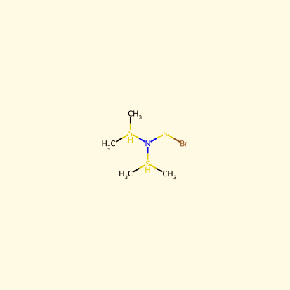 C[SH](C)N(SBr)[SH](C)C